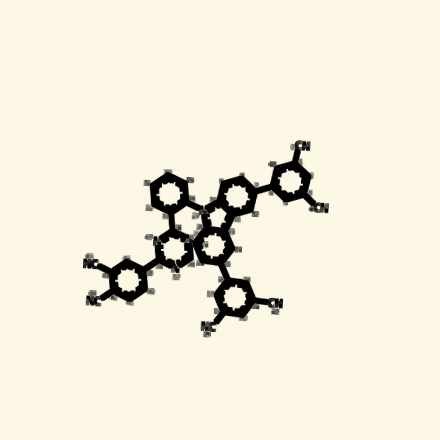 N#Cc1cc(C#N)cc(-c2ccc3c(c2)c2cc(-c4cc(C#N)cc(C#N)c4)ccc2n3-c2ccccc2-c2ncnc(-c3ccc(C#N)c(C#N)c3)n2)c1